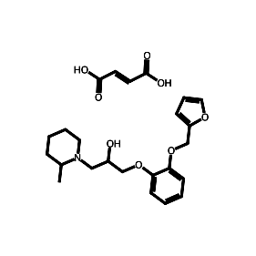 CC1CCCCN1CC(O)COc1ccccc1OCc1ccco1.O=C(O)/C=C/C(=O)O